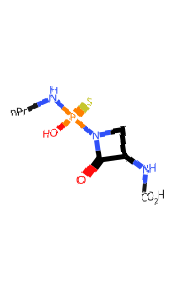 CCCNP(O)(=S)N1CC(NC(=O)O)C1=O